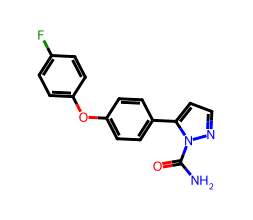 NC(=O)n1nccc1-c1ccc(Oc2ccc(F)cc2)cc1